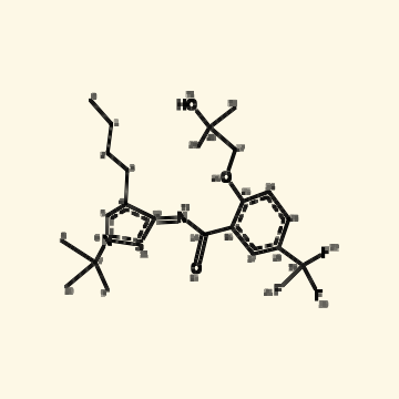 CCCCc1cn(C(C)(C)C)s/c1=N\C(=O)c1cc(C(F)(F)F)ccc1OCC(C)(C)O